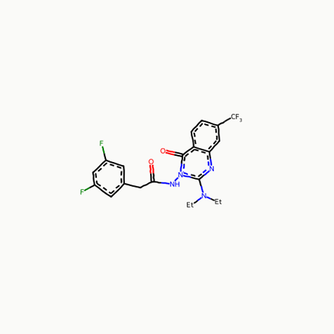 CCN(CC)c1nc2cc(C(F)(F)F)ccc2c(=O)n1NC(=O)Cc1cc(F)cc(F)c1